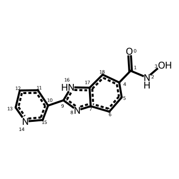 O=C(NO)c1ccc2nc(-c3cccnc3)[nH]c2c1